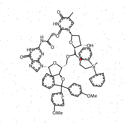 COc1ccc(C(O[C@H]2C[C@H](n3cnc4c(=O)[nH]c(NC(=O)C(C)C)nc43)O[C@@H]2COC(OCC[Si](C)(c2ccccc2)c2ccccc2)[C@H]2O[C@@H](n3cc(C)c(=O)[nH]c3=O)C[C@@H]2O)(c2ccccc2)c2ccc(OC)cc2)cc1